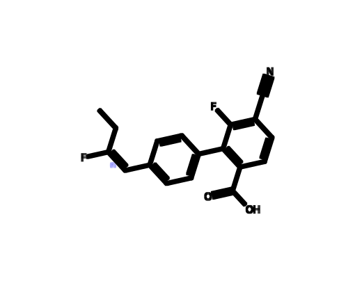 CC/C(F)=C\c1ccc(-c2c(C(=O)O)ccc(C#N)c2F)cc1